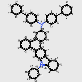 c1ccc(-c2ccc(N(c3ccc(-c4ccccc4)cc3)c3ccc4c(c3)c3ccccc3c3cc5c(cc43)c3ccccc3n5-c3ccccc3)cc2)cc1